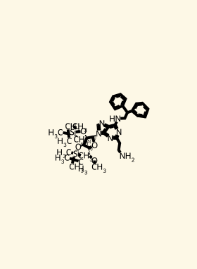 COC[C@H]1O[C@@H](n2cnc3c(NCC(c4ccccc4)c4ccccc4)nc(CCN)nc32)[C@@H](O[Si](C)(C)C(C)(C)C)[C@@H]1O[Si](C)(C)C(C)(C)C